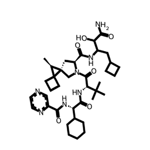 C[C@@H]1C2(CCC2)[C@@]12C[C@@H](C(=O)NC(CC1CCC1)C(O)C(N)=O)N(C(=O)[C@@H](NC(=O)[C@@H](NC(=O)c1cnccn1)C1CCCCC1)C(C)(C)C)C2